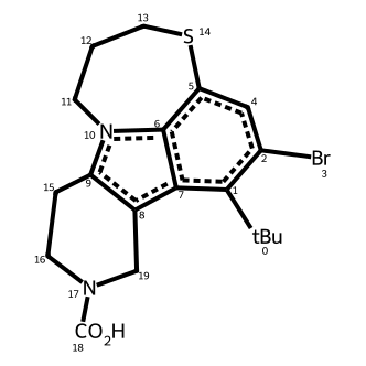 CC(C)(C)c1c(Br)cc2c3c1c1c(n3CCCS2)CCN(C(=O)O)C1